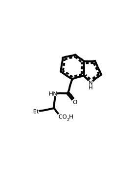 CCC(NC(=O)c1cccc2cc[nH]c12)C(=O)O